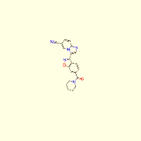 N#Cc1ccc2ncc(-c3noc4cc(C(=O)N5CCCCC5)ccc34)n2c1